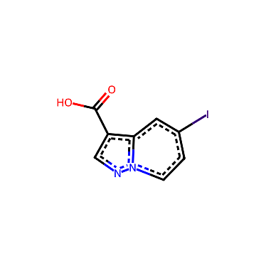 O=C(O)c1cnn2ccc(I)cc12